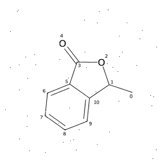 CC1OC(=O)c2ccccc21